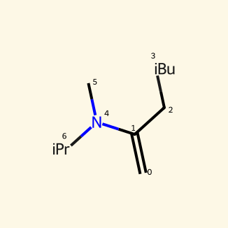 C=C(CC(C)CC)N(C)C(C)C